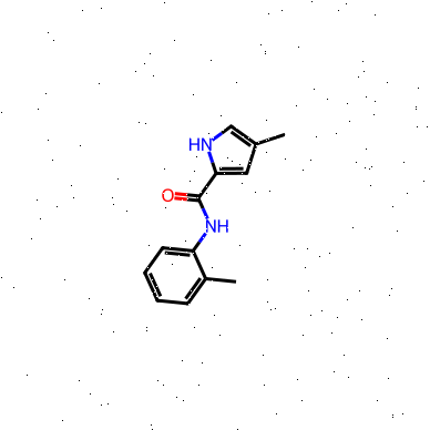 Cc1c[nH]c(C(=O)Nc2ccccc2C)c1